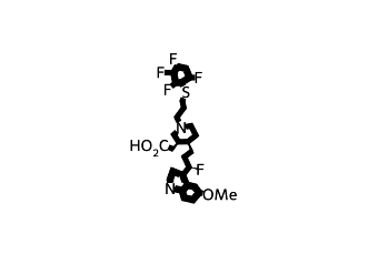 COc1ccc2nccc([C@@H](F)CC[C@@H]3CCN(CCCSc4c(F)cc(F)c(F)c4F)C[C@@H]3CC(=O)O)c2c1